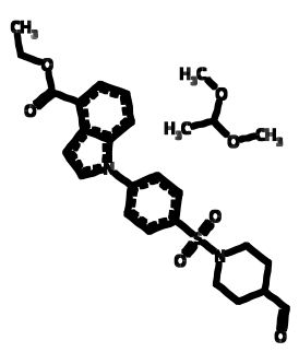 CCOC(=O)c1cccc2c1ccn2-c1ccc(S(=O)(=O)N2CCC(C=O)CC2)cc1.COC(C)OC